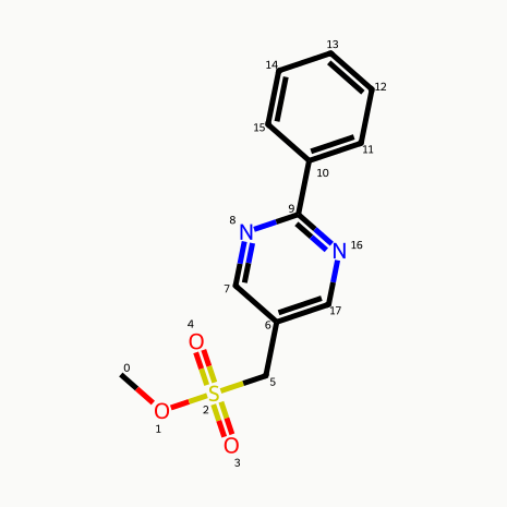 COS(=O)(=O)Cc1cnc(-c2ccccc2)nc1